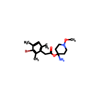 CON1CCC(N)(OC(=O)Cc2c(C)cc(C)c(Br)c2C)CC1